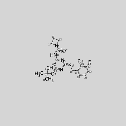 CC(C)(C)Oc1cc(N[S+]([O-])N2CCC2)nc(SCc2cccc(F)c2F)n1